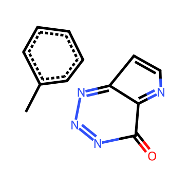 Cc1ccccc1.O=C1N=NN=C2C=CN=C12